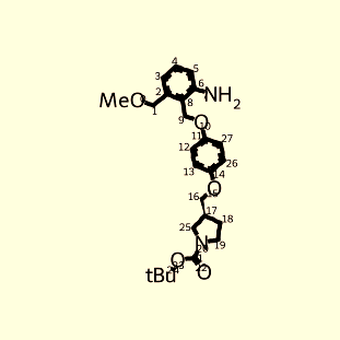 COCc1cccc(N)c1COc1ccc(OC[C@H]2CCN(C(=O)OC(C)(C)C)C2)cc1